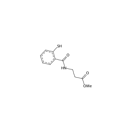 COC(=O)CCNC(=O)c1ccccc1S